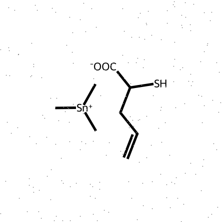 C=CCC(S)C(=O)[O-].[CH3][Sn+]([CH3])[CH3]